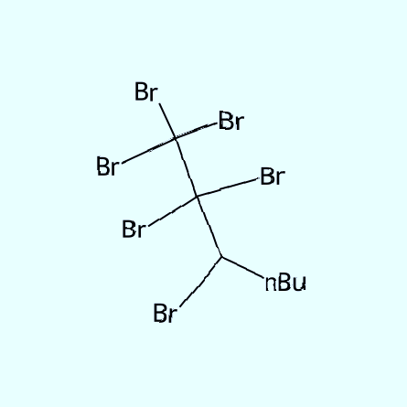 CCCCC(Br)C(Br)(Br)C(Br)(Br)Br